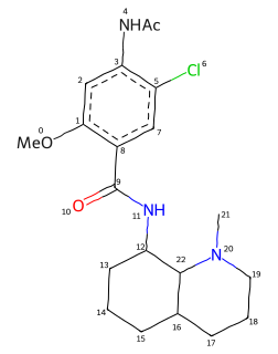 COc1cc(NC(C)=O)c(Cl)cc1C(=O)NC1CCCC2CCCN(C)C21